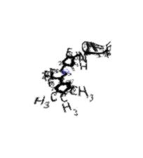 Cc1cc(C(/C=C/c2ccc(CNC(=O)CC(F)(F)F)c(F)c2)C(F)(F)F)cc(C)c1C